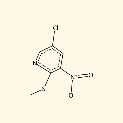 CSc1ncc(Cl)cc1[N+](=O)[O-]